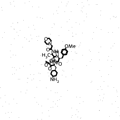 COc1ccc(C[C@H](NC(=O)[C@H](C)NC(=O)CN2CCOCC2)C(=O)N[C@@H](C[C@H]2CC[C@@H](N)CC2)C(=O)[C@@]2(C)CO2)cc1